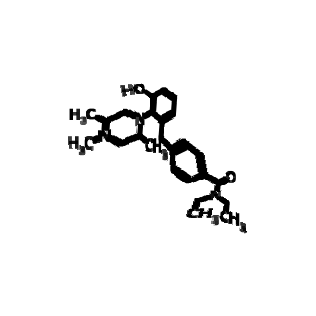 CCN(CC)C(=O)c1ccc(Cc2cccc(O)c2N2CC(C)N(C)CC2C)cc1